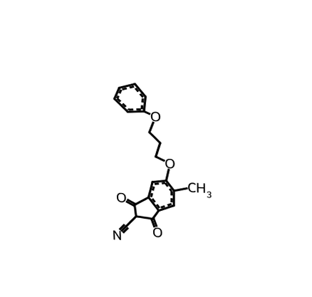 Cc1cc2c(cc1OCCCOc1ccccc1)C(=O)C(C#N)C2=O